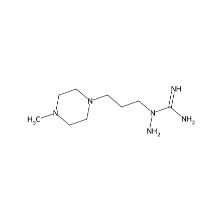 CN1CCN(CCCN(N)C(=N)N)CC1